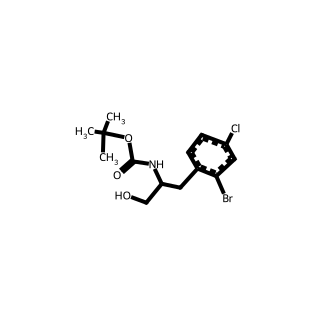 CC(C)(C)OC(=O)NC(CO)Cc1ccc(Cl)cc1Br